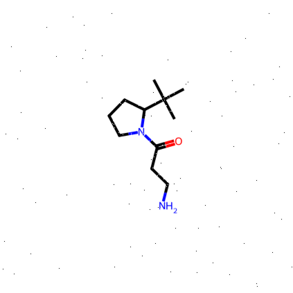 CC(C)(C)C1CCCN1C(=O)CCN